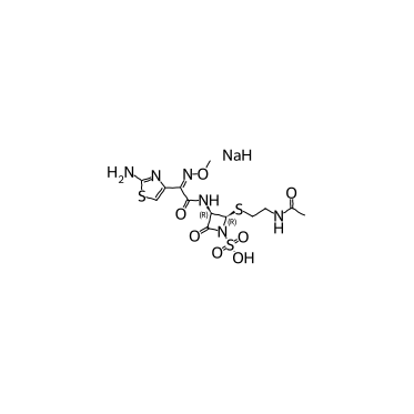 CON=C(C(=O)N[C@@H]1C(=O)N(S(=O)(=O)O)[C@@H]1SCCNC(C)=O)c1csc(N)n1.[NaH]